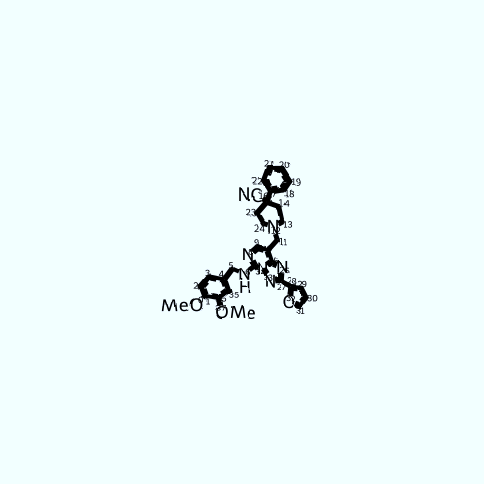 COc1ccc(CNc2ncc(CN3CCC(C#N)(c4ccccc4)CC3)c3nc(-c4ccco4)nn23)cc1OC